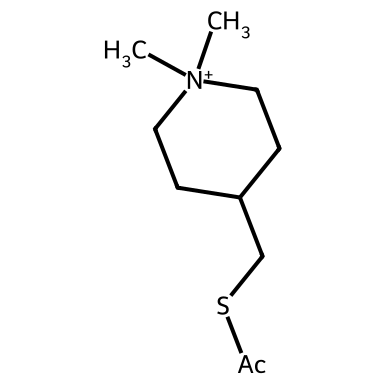 CC(=O)SCC1CC[N+](C)(C)CC1